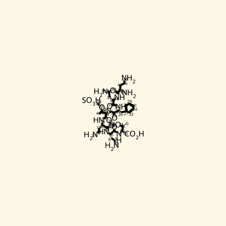 C[C@@H](O)[C@H](NC(=O)[C@H](CCN)NC(=O)[C@H](CCN)NC(=O)[C@@H](NC(=O)[C@@H](Cc1ccccc1)NC(=O)[C@H](CCN)NC(=O)[C@@H](N)CCN)[C@@H](C)OCS(=O)(=O)O)C(=O)O